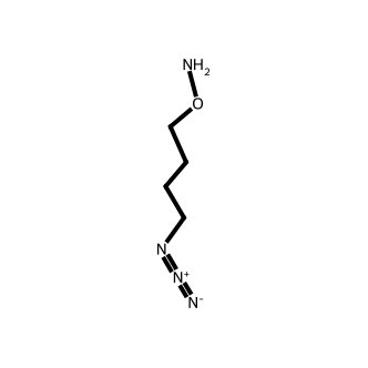 [N-]=[N+]=NCCCCON